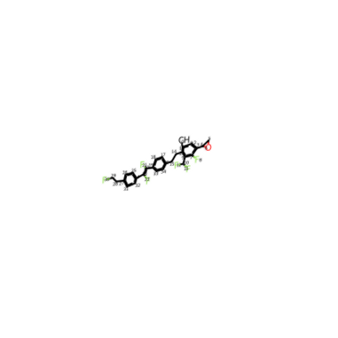 Cc1cc(C2CO2)c(F)c(C(F)F)c1CCc1ccc(/C(F)=C(\F)c2ccc(CCF)cc2)cc1